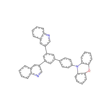 c1ccc2c(c1)Oc1ccccc1N2c1ccc(-c2cc(-c3cnc4ccccc4c3)cc(-c3cnc4ccccc4c3)c2)cc1